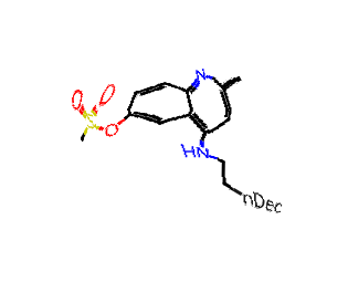 CCCCCCCCCCCCNc1cc(C)nc2ccc(OS(C)(=O)=O)cc12